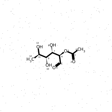 CC(=O)O[C@@H](C=O)[C@@H](O)[C@H](O)[C@@H](C)O